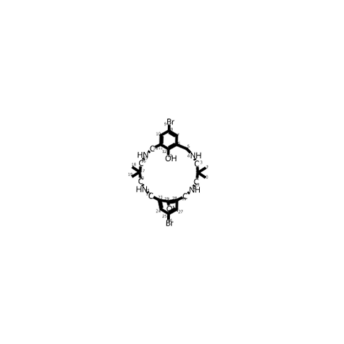 CC1(C)CNCc2cc(Br)cc(c2O)CNCC(C)(C)CNCc2cc(Br)cc(c2O)CNC1